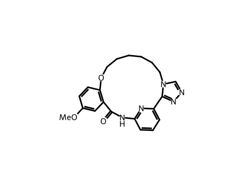 COc1ccc2c(c1)C(=O)Nc1cccc(n1)-c1nncn1CCCCCCO2